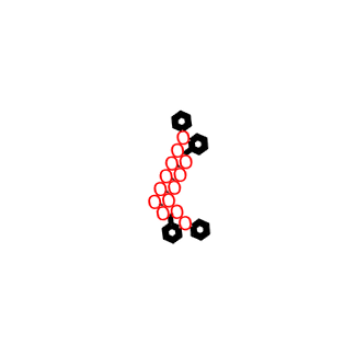 O=C(OC(=O)OC(=O)OC(=O)c1ccccc1Oc1ccccc1)OC(=O)OC(=O)c1ccccc1Oc1ccccc1